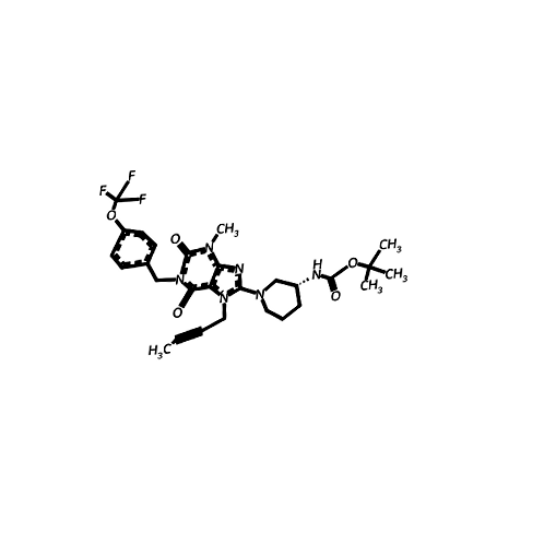 CC#CCn1c(N2CCC[C@@H](NC(=O)OC(C)(C)C)C2)nc2c1c(=O)n(Cc1ccc(OC(F)(F)F)cc1)c(=O)n2C